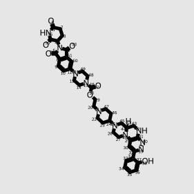 O=C1CCC(N2C(=O)c3ccc(N4CCN(C(=O)OCCN5CCC(N6CCN7c8cc(-c9ccccc9O)nnc8NC[C@H]7C6)CC5)CC4)cc3C2=O)C(=O)N1